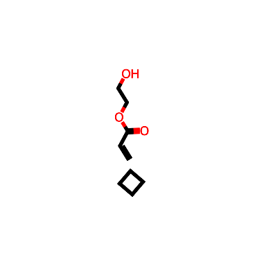 C1CCC1.C=CC(=O)OCCO